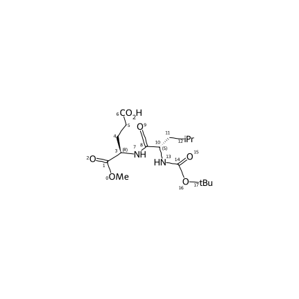 COC(=O)[C@@H](CCC(=O)O)NC(=O)[C@H](CC(C)C)NC(=O)OC(C)(C)C